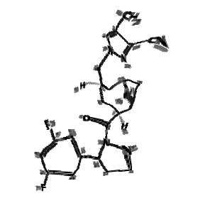 Cc1cn(C[C@@H]2C[C@H](C(=O)N3N=CCC3c3cc(F)cc(F)c3)C3CC2C3)nc1C#N